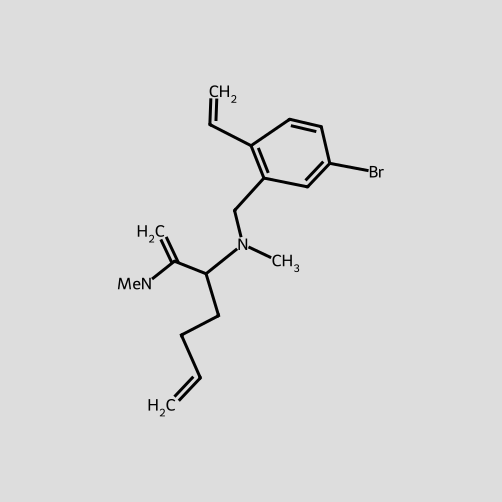 C=CCCC(C(=C)NC)N(C)Cc1cc(Br)ccc1C=C